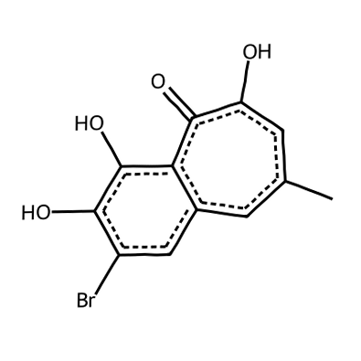 Cc1cc(O)c(=O)c2c(O)c(O)c(Br)cc2c1